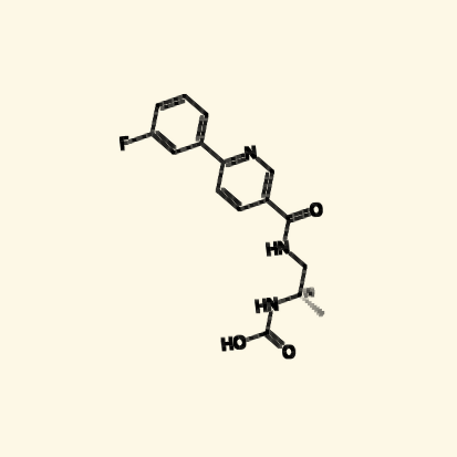 C[C@@H](CNC(=O)c1ccc(-c2cccc(F)c2)nc1)NC(=O)O